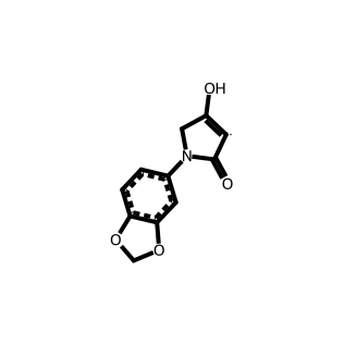 O=C1[C]=C(O)CN1c1ccc2c(c1)OCO2